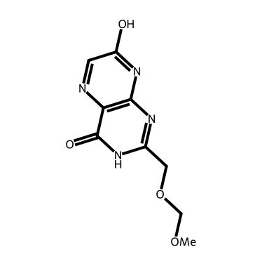 COCOCc1nc2nc(O)cnc2c(=O)[nH]1